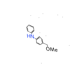 COCc1ccc(Nc2ccccc2)cc1